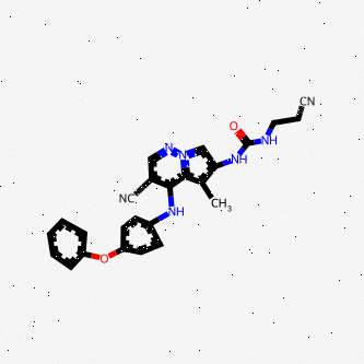 Cc1c(NC(=O)NCCC#N)cn2ncc(C#N)c(Nc3ccc(Oc4ccccc4)cc3)c12